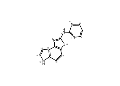 c1cnc(Nc2nc3c(ccc4[nH]ncc43)s2)nc1